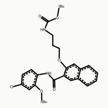 CCCCOc1cc(Cl)ccc1NC(=O)c1cc2ccccc2cc1OCCCNC(=O)OC(C)(C)C